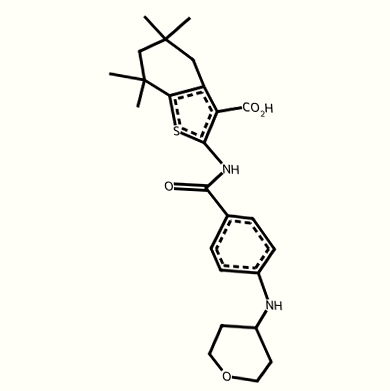 CC1(C)Cc2c(sc(NC(=O)c3ccc(NC4CCOCC4)cc3)c2C(=O)O)C(C)(C)C1